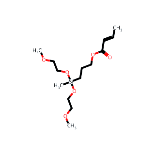 CC=CC(=O)OCCC[Si](C)(OCCOC)OCCOC